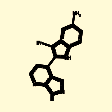 CC(C)c1c(-c2ccnc3[nH]ncc23)[nH]c2ccc(N)cc12